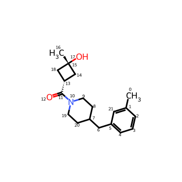 Cc1cccc(CC2CCN(C(=O)[C@H]3C[C@@](C)(O)C3)CC2)c1